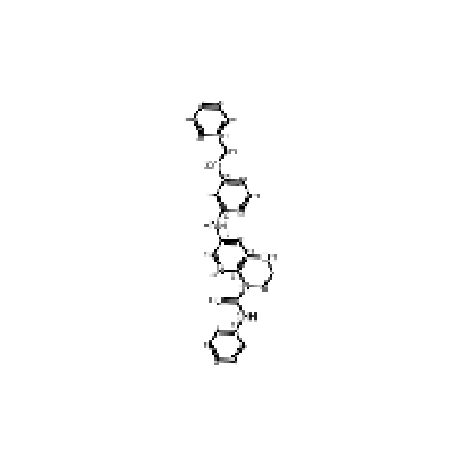 O=C(Nc1ccccc1)N1CCOc2cc(Nc3cccc(OCc4ccccc4)c3)cnc21